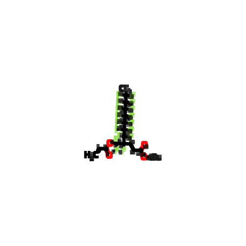 C=CC(=O)OC(F)(F)C(F)(CCC(=O)OC(C)(C)C)C(F)(F)C(F)(F)C(F)(F)C(F)(F)C(F)(F)C(F)(F)C(F)(F)C(F)(F)F